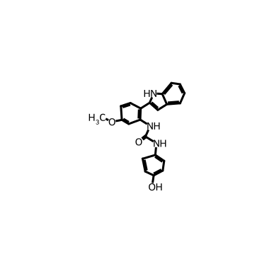 COc1ccc(-c2cc3ccccc3[nH]2)c(NC(=O)Nc2ccc(O)cc2)c1